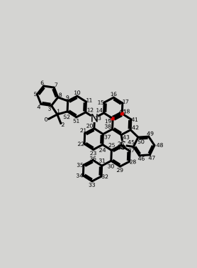 CC1(C)c2ccccc2-c2ccc(N(c3ccccc3)c3cccc(-c4ccccc4-c4ccccc4)c3-c3cccc4c3sc3ccccc34)cc21